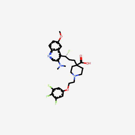 COc1ccc2ncc(N(C)C)c([C@H](F)CCC3(C(=O)O)CCN(CCOc4cc(F)c(F)c(F)c4)CC3)c2c1